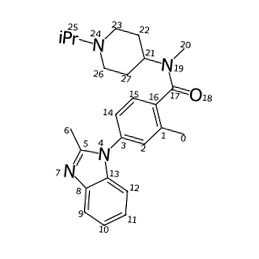 Cc1cc(-n2c(C)nc3ccccc32)ccc1C(=O)N(C)C1CCN(C(C)C)CC1